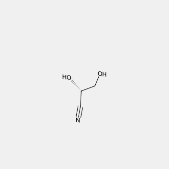 N#C[C@H](O)CO